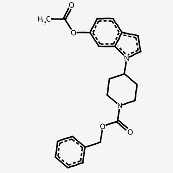 CC(=O)Oc1ccc2ccn(C3CCN(C(=O)OCc4ccccc4)CC3)c2c1